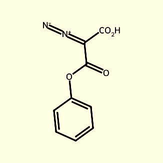 [N-]=[N+]=C(C(=O)O)C(=O)Oc1ccccc1